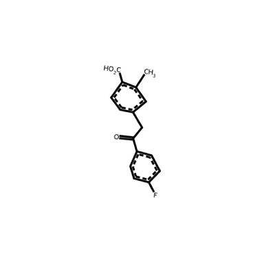 Cc1cc(CC(=O)c2ccc(F)cc2)ccc1C(=O)O